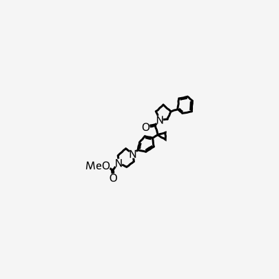 COC(=O)N1CCN(c2ccc(C3(C(=O)N4CCC(c5ccccc5)C4)CC3)cc2)CC1